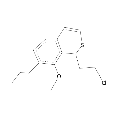 CCCc1ccc2c(c1OC)C(CCCl)SC=C2